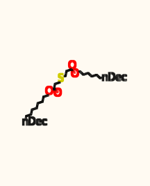 CCCCCCCCCCCCCCCCCCOC(=O)CCSCCC(=O)OCCCCCCCCCCCCCCCC